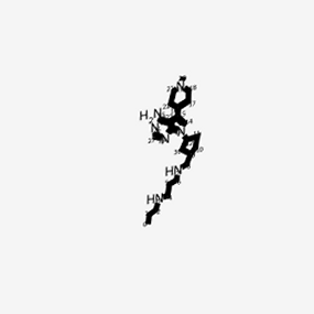 CCCNCCCNCC1CCC(n2cc(C3=CCN(C)CC3)c3c(N)ncnc32)C1